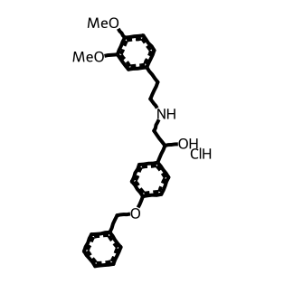 COc1ccc(CCNCC(O)c2ccc(OCc3ccccc3)cc2)cc1OC.Cl